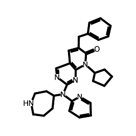 O=c1c(Cc2ccccc2)cc2cnc(N(c3ccccn3)C3CCCNCC3)nc2n1C1CCCC1